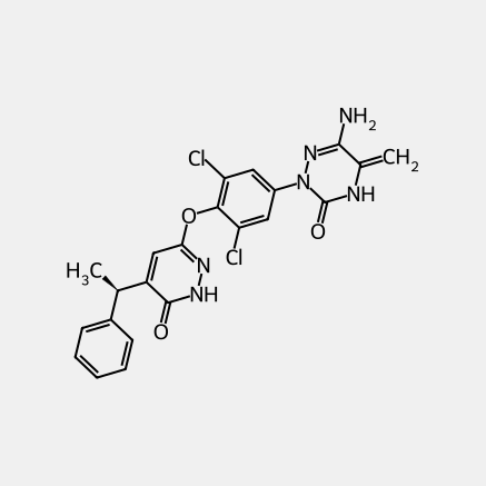 C=C1NC(=O)N(c2cc(Cl)c(Oc3cc([C@H](C)c4ccccc4)c(=O)[nH]n3)c(Cl)c2)N=C1N